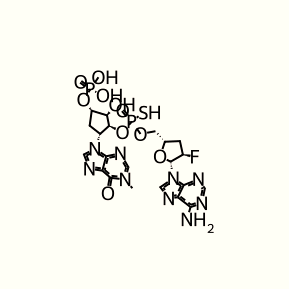 Cn1cnc2c(ncn2[C@@H]2C[C@H](OP(=O)(O)O)[C@@H](O)[C@H]2OP(=O)(S)OC[C@@H]2C[C@@H](F)[C@H](n3cnc4c(N)ncnc43)O2)c1=O